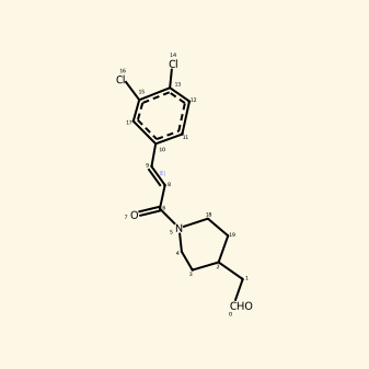 O=CCC1CCN(C(=O)/C=C/c2ccc(Cl)c(Cl)c2)CC1